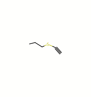 C#CSCCC